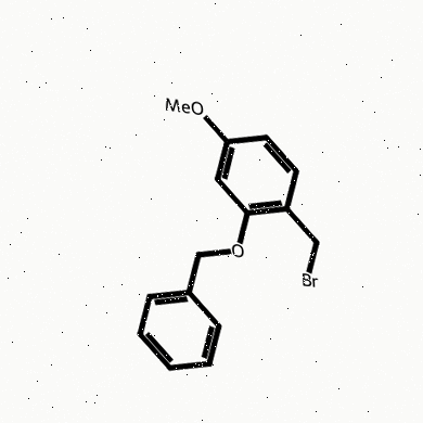 COc1ccc(CBr)c(OCc2ccccc2)c1